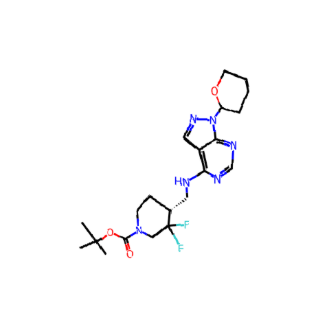 CC(C)(C)OC(=O)N1CC[C@H](CNc2ncnc3c2cnn3C2CCCCO2)C(F)(F)C1